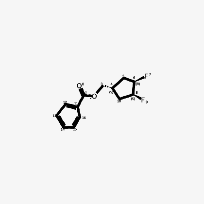 O=C(OC[C@@H]1C[C@@H](F)[C@@H](F)C1)c1ccccc1